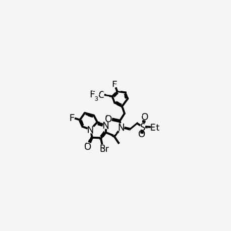 CCS(=O)(=O)CCN(C(=O)Cc1ccc(F)c(C(F)(F)F)c1)C(C)c1nc2ccc(F)cn2c(=O)c1Br